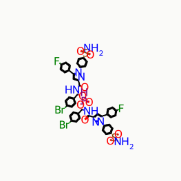 NS(=O)(=O)c1ccc(-n2nc(C(=O)NC(O[PH](=O)OC(NC(=O)c3cc(-c4ccc(F)cc4)n(-c4ccc(S(N)(=O)=O)cc4)n3)c3ccc(Br)cc3)c3ccc(Br)cc3)cc2-c2ccc(F)cc2)cc1